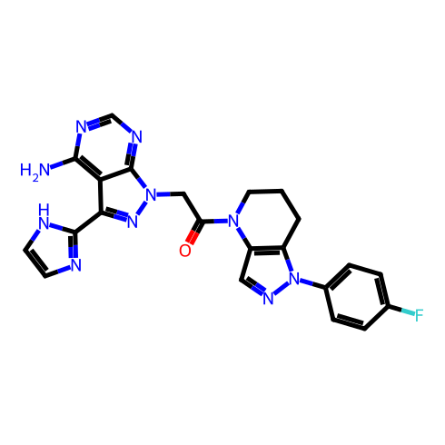 Nc1ncnc2c1c(-c1ncc[nH]1)nn2CC(=O)N1CCCc2c1cnn2-c1ccc(F)cc1